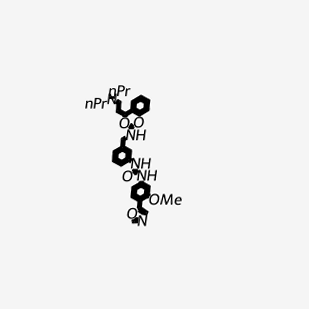 CCCN(CCC)CCC(OC(=O)NCc1cccc(NC(=O)Nc2ccc(-c3cnco3)c(OC)c2)c1)c1ccccc1